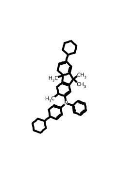 CC1CC2=C(C=C1N(C1=CCC(C3CCCCC3)C=C1)c1ccccc1)C(C)(C)C1=CC(C3CCCCC3)=CCC12C